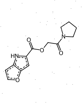 O=C(OCC(=O)N1CCCC1)c1cc2occc2[nH]1